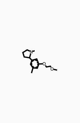 COCCOc1cc(C)cc(C2CCCN2C)c1